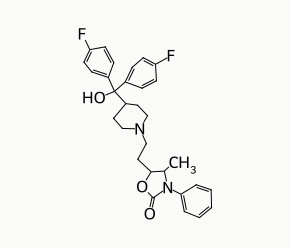 CC1C(CCN2CCC(C(O)(c3ccc(F)cc3)c3ccc(F)cc3)CC2)OC(=O)N1c1ccccc1